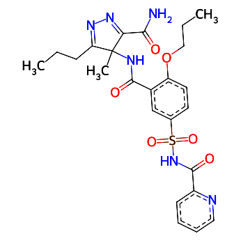 CCCOc1ccc(S(=O)(=O)NC(=O)c2ccccn2)cc1C(=O)NC1(C)C(CCC)=NN=C1C(N)=O